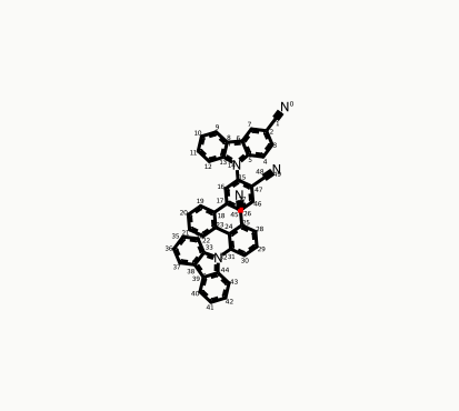 N#Cc1ccc2c(c1)c1ccccc1n2-c1cc(-c2ccccc2-c2c(C#N)cccc2-n2c3ccccc3c3ccccc32)ccc1C#N